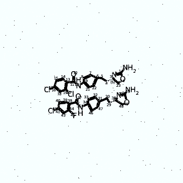 NC1=N[C@@H](CCc2ccc(NC(=O)c3ccc(Cl)cc3Cl)cc2)CO1.NC1=N[C@@H](CCc2ccc(NC(=O)c3ccc(Cl)cc3F)cc2)CO1